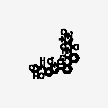 COc1nc(-c2cccc(-c3cccc(NC(=O)c4cn(C)c(=O)n(C)c4=O)c3Cl)c2Cl)cc2c1C(NC1CCOC1)C(O)C2